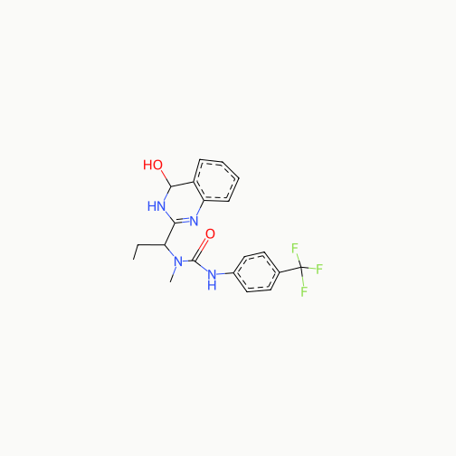 CCC(C1=Nc2ccccc2C(O)N1)N(C)C(=O)Nc1ccc(C(F)(F)F)cc1